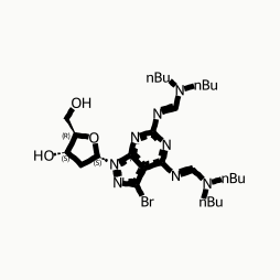 CCCCN(C=Nc1nc(N=CN(CCCC)CCCC)c2c(Br)nn([C@@H]3C[C@H](O)[C@@H](CO)O3)c2n1)CCCC